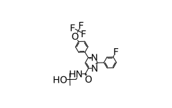 CC(C)(O)CNC(=O)c1cc(-c2ccc(OC(F)(F)F)cc2)nc(-c2cccc(F)c2)n1